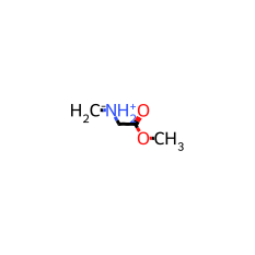 [CH2-][NH2+]CC(=O)OC